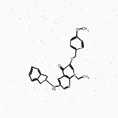 CCn1cc(OCc2ccc(OC)cc2)c(=O)c2cc(NC3Cc4ccccc4C3)cnc21